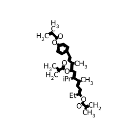 C=C(C)C(=O)OC(/C=C(/C(C)=C/C=C(\CC)OC(=O)C(=C)C)C(C)C)=C(C)\C=C\c1ccc(OC(=O)C(=C)C)cc1